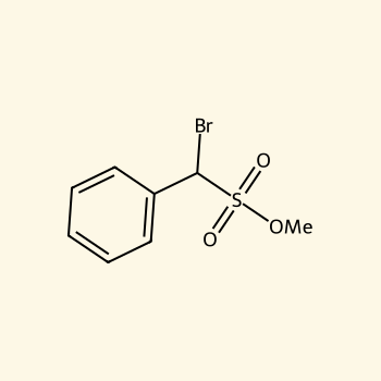 COS(=O)(=O)C(Br)c1ccccc1